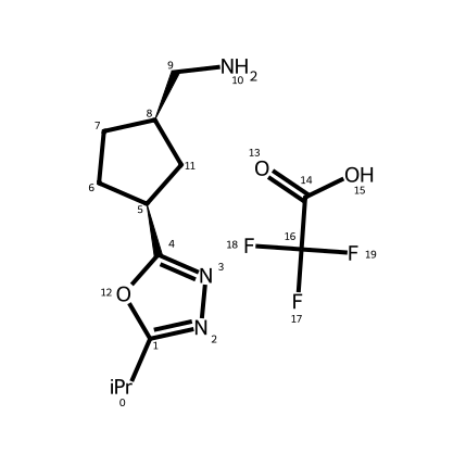 CC(C)c1nnc([C@H]2CC[C@@H](CN)C2)o1.O=C(O)C(F)(F)F